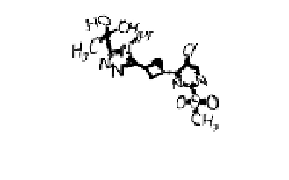 CC(C)n1c(C(C)(C)O)nnc1C12CC(c3nc(S(C)(=O)=O)ncc3Cl)(C1)C2